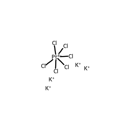 [Cl][Pt-4]([Cl])([Cl])([Cl])([Cl])[Cl].[K+].[K+].[K+].[K+]